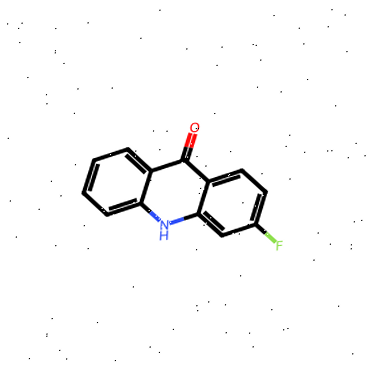 O=c1c2ccccc2[nH]c2cc(F)ccc12